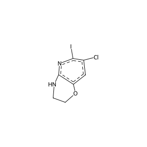 Clc1cc2c(nc1I)NCCO2